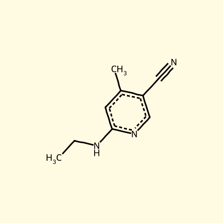 CCNc1cc(C)c(C#N)cn1